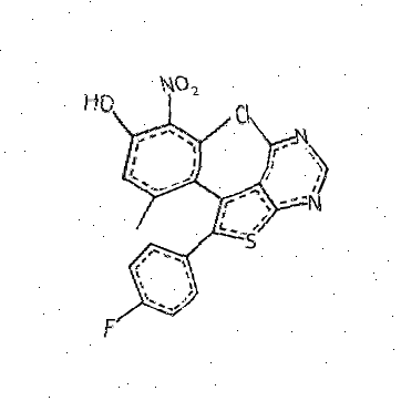 Cc1cc(O)c([N+](=O)[O-])c(C)c1-c1c(-c2ccc(F)cc2)sc2ncnc(Cl)c12